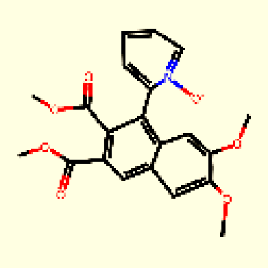 COC(=O)c1cc2cc(OC)c(OC)cc2c(-c2cccc[n+]2[O-])c1C(=O)OC